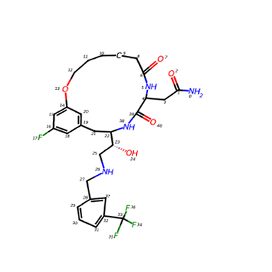 NC(=O)CC1NC(=O)CCCCCOc2cc(F)cc(c2)CC([C@H](O)CNCc2cccc(C(F)(F)F)c2)NC1=O